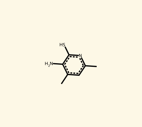 Cc1cc(C)c(N)c(S)n1